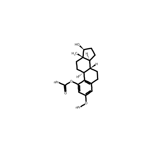 CCCOc1cc2c(c(OC(=O)CCC)c1)[C@H]1CC[C@]3(C)[C@@H](O)CC[C@H]3[C@@H]1CC2